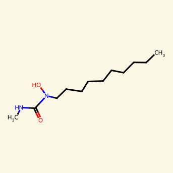 CCCCCCCCCCN(O)C(=O)NC